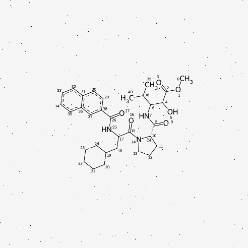 COC(=O)C(O)C(NC(=O)[C@@H]1CCCN1C(=O)C(CC1CCCCC1)NC(=O)c1ccc2ccccc2c1)C(C)C